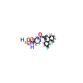 CS(=O)(=O)N[C@@H]1CCCN(C(=O)[C@@H]2C[C@H]2c2ccc(F)cc2-c2c(F)cccc2F)CC1